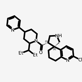 CCC(CC)C1CC(c2ccccn2)CCN1C(=O)[C@@H]1CNC[C@]12CCCc1nc(Cl)ccc12